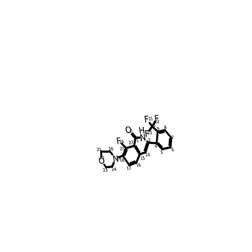 O=c1[nH]c(-c2ccccc2C(F)(F)F)cc2ccc(N3CCOCC3)c(F)c12